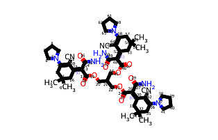 CC1(C)CC(N2CCCC2)=C(C#N)/C(=C(\C(N)=O)C(=O)OCC(COC(=O)/C(C(N)=O)=C2\CC(C)(C)CC(N3CCCC3)=C2C#N)COC(=O)/C(C(N)=O)=C2\CC(C)(C)CC(N3CCCC3)=C2C#N)C1